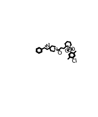 Cc1cc(S(=O)(=O)N2CCCCC2CCC(=O)N2CCC(CCc3ccccc3)(N(C)C)CC2)c(C)cc1Cl